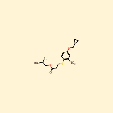 CCCCC(CC)COC(=O)CCSc1ccc(OCC2CC2)cc1[N+](=O)[O-]